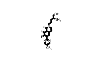 NC(CO)CCCn1ccc2cc(-c3ncc(C(F)(F)F)cn3)c(F)c(F)c2c1=O